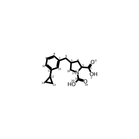 O=C(O)C1CC(Cc2cccc(C3CC3)c2)CN1C(=O)O